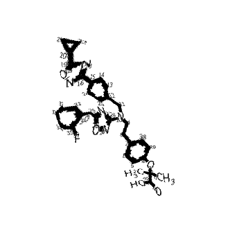 CC(C)(Oc1ccc(CCN(Cc2ccc(-c3noc(C4CC4)n3)cc2)c2noc(-c3ccccc3F)n2)cc1)C(=O)O